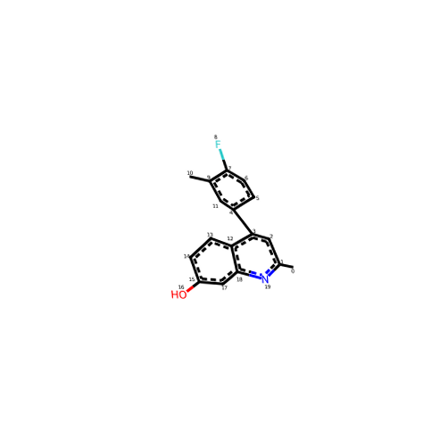 Cc1cc(-c2ccc(F)c(C)c2)c2ccc(O)cc2n1